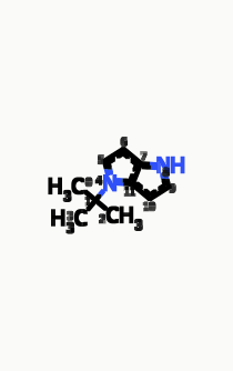 CC(C)(C)n1ccc2[nH]ccc21